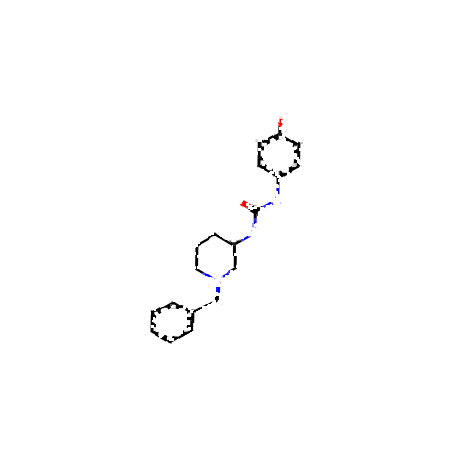 O=C(Nc1ccc(O)cc1)NC1CCCN(Cc2ccccc2)C1